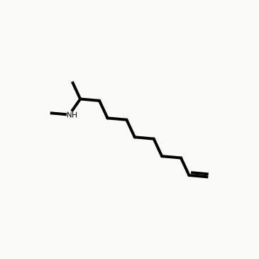 C=CCCCCCCCC(C)NC